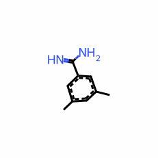 Cc1cc(C)cc(C(=N)N)c1